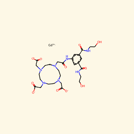 O=C([O-])CN1CCN(CC(=O)[O-])CCN(CC(=O)Nc2cc(C(=O)NCCO)cc(C(=O)NCCO)c2)CCN(CC(=O)[O-])CC1.[Gd+3]